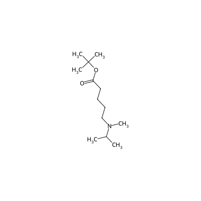 CC(C)N(C)CCCCC(=O)OC(C)(C)C